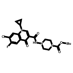 CC(C)(C)OC(=O)N1CCN(NC(=O)c2cn(C3CC3)c3cc(Cl)c(F)cc3c2=O)CC1